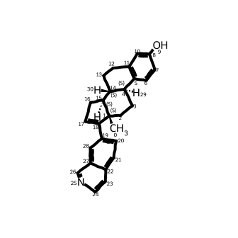 C[C@]12CC[C@@H]3c4ccc(O)cc4CC[C@H]3[C@@H]1CC=C2c1ccc2ccncc2c1